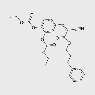 CCOC(=O)Oc1ccc(C=C(C#N)C(=O)OCCCc2cccnc2)cc1OC(=O)OCC